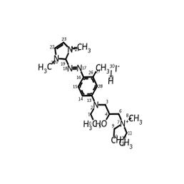 CCN(CC(O)C[N+](C)(CC)CC)c1ccc(N=NC2N(C)C=CN2C)c(C)c1.I.[I-]